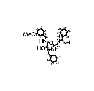 COc1cccc(CNC[C@@H](O)[C@H](Cc2ccccc2)NC(=O)CNC(=N)c2ccccc2)c1